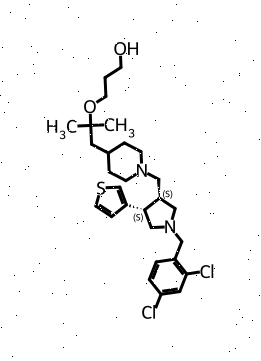 CC(C)(CC1CCN(C[C@H]2CN(Cc3ccc(Cl)cc3Cl)C[C@@H]2c2ccsc2)CC1)OCCCO